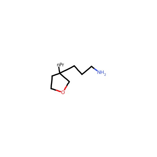 CCCC1(CCCN)CCOC1